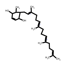 CC(C)=CCC/C(C)=C/CC/C(C)=C/CC/C(C)=C/CC1C(O)C=CC(O)C1C